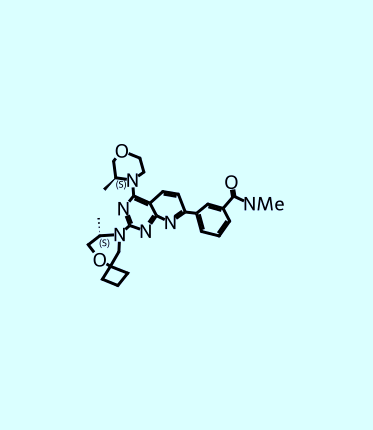 CNC(=O)c1cccc(-c2ccc3c(N4CCOC[C@@H]4C)nc(N4CC5(CCC5)OC[C@@H]4C)nc3n2)c1